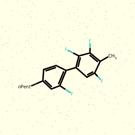 CCCCCc1ccc(-c2cc(F)c(C)c(F)c2F)c(F)c1